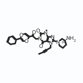 CC#CCn1c(N2CCC[C@@H](N)C2)nc2c1c(=O)n(CC(=O)C1=COC(C3=CC=CCC3)=CO1)c(=O)n2C